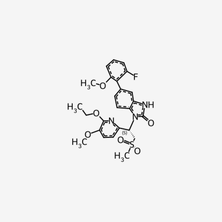 CCOc1nc([C@@H](CS(C)(=O)=O)n2c(=O)[nH]c3cc(-c4c(F)cccc4OC)ccc32)ccc1OC